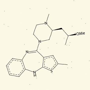 CO[C@@H](C)C[C@H]1CN(C2=Nc3ccccc3Nc3sc(C)cc32)CCN1C